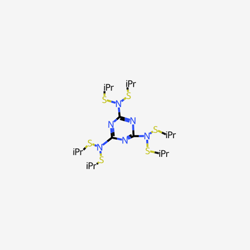 CC(C)SN(SC(C)C)c1nc(N(SC(C)C)SC(C)C)nc(N(SC(C)C)SC(C)C)n1